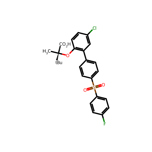 CC(C)(C)[C@](C)(Oc1ccc(Cl)cc1-c1ccc(S(=O)(=O)c2ccc(F)cc2)cc1)C(=O)O